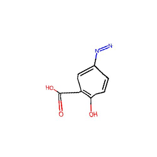 [N]=Nc1ccc(O)c(C(=O)O)c1